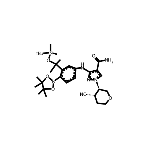 CC(C)(O[Si](C)(C)C(C)(C)C)c1cc(Nc2nn([C@H]3COCC[C@@H]3C#N)cc2C(N)=O)ccc1B1OC(C)(C)C(C)(C)O1